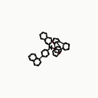 c1ccc2c(c1)-c1cccc3c1-c1cc(N(c4ccc(-c5cccc6ccccc56)cc4)c4ccc5ccccc5c4)ccc1-c1cccc-3c1-2